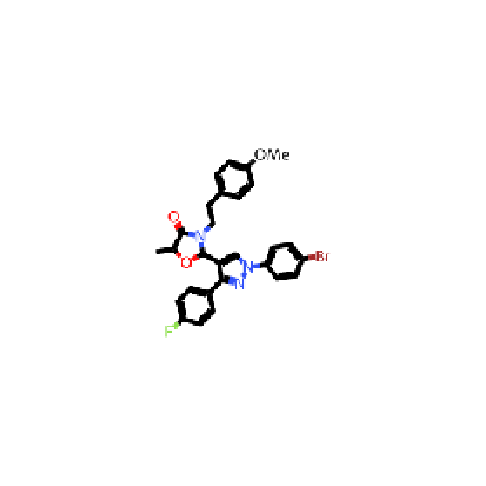 COc1ccc(CCN2C(=O)C(C)OC2c2cn(-c3ccc(Br)cc3)nc2-c2ccc(F)cc2)cc1